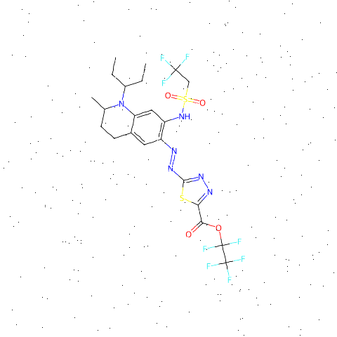 CCC(CC)N1c2cc(NS(=O)(=O)CC(F)(F)F)c(N=Nc3nnc(C(=O)OC(F)(F)C(F)(F)F)s3)cc2CCC1C